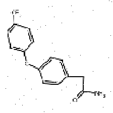 NC(=O)Cc1ccc(Oc2ccc(C(F)(F)F)cc2)cc1